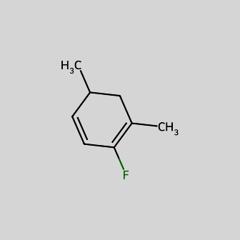 CC1=C(F)C=CC(C)C1